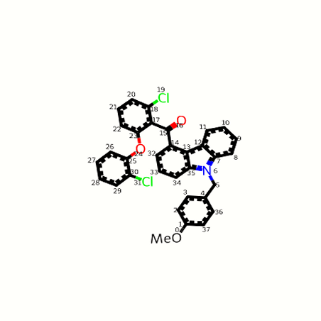 COc1ccc(Cn2c3ccccc3c3c(C(=O)c4c(Cl)cccc4Oc4ccccc4Cl)cccc32)cc1